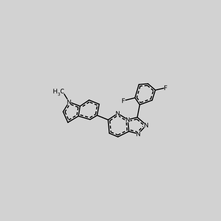 Cn1ccc2cc(-c3ccc4nnc(-c5cc(F)ccc5F)n4n3)ccc21